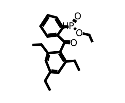 CCO[PH](=O)c1ccccc1C(=O)c1c(CC)cc(CC)cc1CC